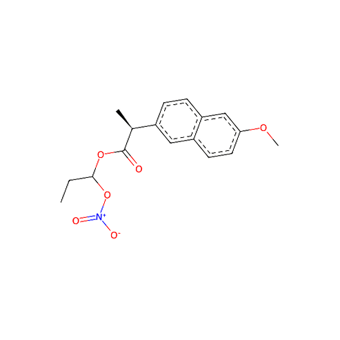 CCC(OC(=O)[C@@H](C)c1ccc2cc(OC)ccc2c1)O[N+](=O)[O-]